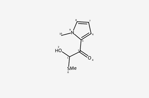 CSC(O)C(=O)c1cccn1C